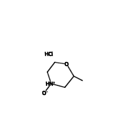 CC1C[NH+]([O-])CCO1.Cl